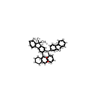 CC1(C)c2ccccc2-c2cc(-c3cccc4c3CCCC4)c(N(c3ccccc3)c3ccc4c(c3)oc3ccccc34)cc21